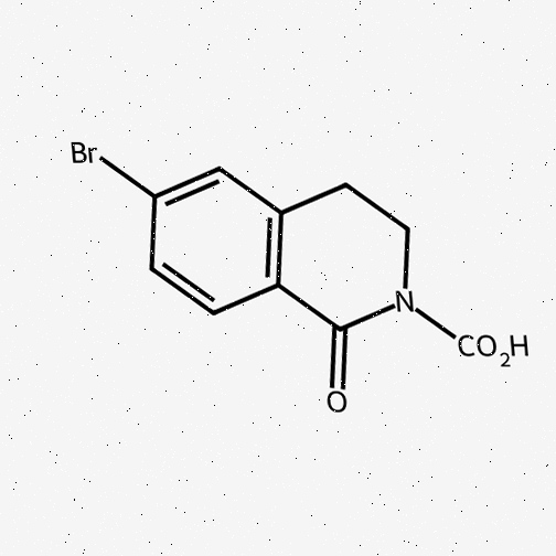 O=C(O)N1CCc2cc(Br)ccc2C1=O